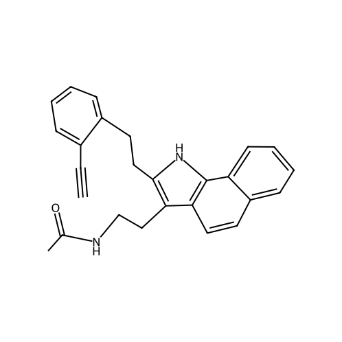 C#Cc1ccccc1CCc1[nH]c2c(ccc3ccccc32)c1CCNC(C)=O